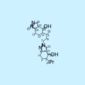 CC(C)C1CCc2nn(CCC(C)C3CCc4c(cnn4C)C3O)cc2C1O